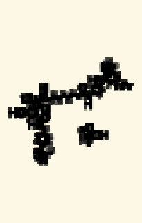 CCCc1cc(N[C@@H]2CC[C@@H](NC(=O)CCCCCCCN[C@H](C(=O)N3C[C@H](O)C[C@H]3C(=O)NCc3ccc(-c4scnc4C)cc3)C(C)(C)C)C2)n2nccc2n1.O=C(O)C(F)(F)F